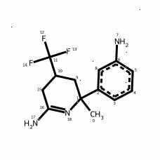 CC1(c2cccc(N)c2)CC(C(F)(F)F)CC(N)=N1